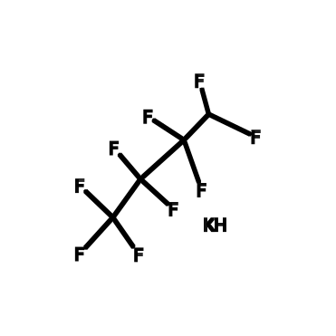 FC(F)C(F)(F)C(F)(F)C(F)(F)F.[KH]